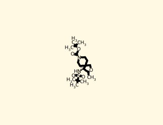 CC1OCC2(CCN(C(=O)OC(C)(C)C)CC2)[C@@H]1NS(=O)(=O)C(C)(C)C